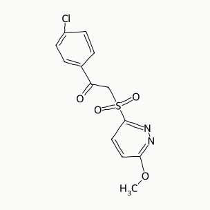 COc1ccc(S(=O)(=O)CC(=O)c2ccc(Cl)cc2)nn1